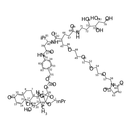 CCCC1OC2C[C@H]3C4CCC5=CC(=O)C=CC5(C)C4C(O)CC3(C)C2(C(=O)COC(=O)OCc2ccc(NC(=O)CC(NC(=O)C(CCOCCOCCOCCOCCN3C(=O)C=CC3=O)CCC(=O)NCCC(O)C(O)[C@H](O)CO)C(C)C)cc2)O1